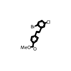 COC(=O)c1ccc(C=Cc2cc(Cl)ccc2Br)cc1